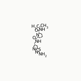 CC(C)NC(=O)c1cccc(C(=O)NCc2cnc3nc(N)sc3c2)n1